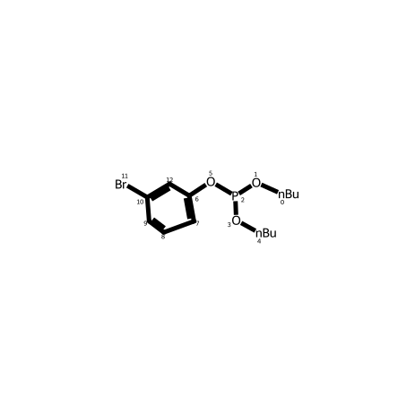 CCCCOP(OCCCC)Oc1cccc(Br)c1